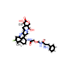 CC[C@@]1(O)C(=O)OCC2=C1C=C1c3nc4cc(F)c(C)c5c4c(c3CN1C2O)[C@@H](NC(=O)COCNC(=O)[C@@H](N)Cc1ccccc1)CC5